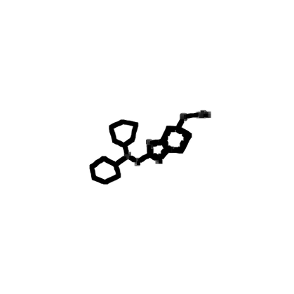 CCCCOc1ccc2nc(SN(C3CCCCC3)C3CCCCC3)sc2c1